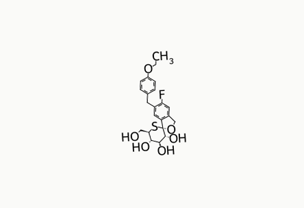 CCOc1ccc(Cc2cc3c(cc2F)CO[C@]32S[C@H](CO)[C@@H](O)[C@H](O)[C@H]2O)cc1